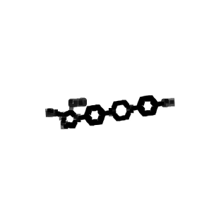 CCC(C)N1N=CN(c2ccc(N3CCN(c4ccc(O)cc4)CC3)cc2)[C@H]1C=O